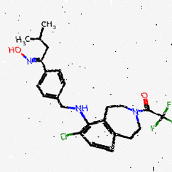 CC(C)CC(=NO)c1ccc(CNc2c(Cl)ccc3c2CCN(C(=O)C(F)(F)F)CC3)cc1